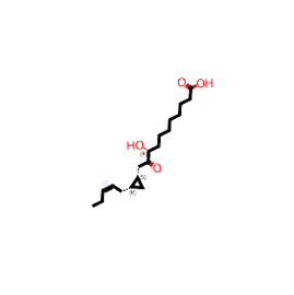 CC/C=C\C[C@H]1C[C@H]1CC(=O)[C@H](O)CCCCCCCC(=O)O